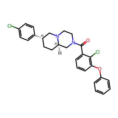 O=C(c1cccc(Oc2ccccc2)c1Cl)N1CCN2C[C@@H](c3ccc(Cl)cc3)CC[C@@H]2C1